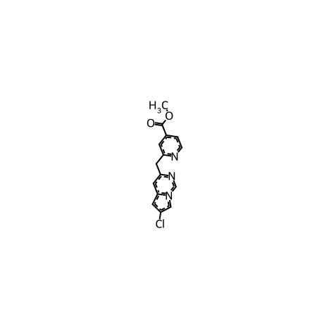 COC(=O)c1ccnc(Cc2cc3cc(Cl)cn3cn2)c1